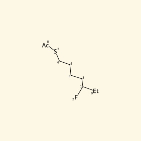 CCC(F)CCCCSC(C)=O